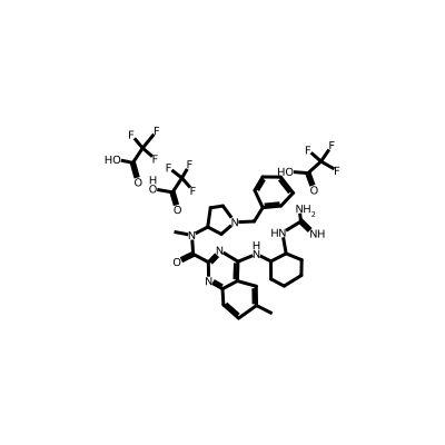 Cc1ccc2nc(C(=O)N(C)C3CCN(Cc4ccccc4)C3)nc(NC3CCCCC3NC(=N)N)c2c1.O=C(O)C(F)(F)F.O=C(O)C(F)(F)F.O=C(O)C(F)(F)F